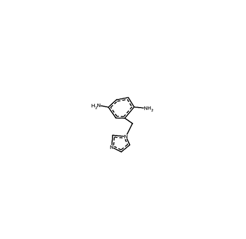 Nc1ccc(N)c(Cn2ccnc2)c1